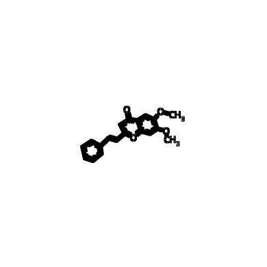 COc1cc2oc(C=Cc3ccccc3)cc(=O)c2cc1OC